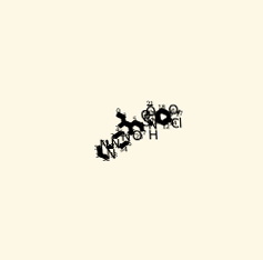 C=C/C(C)=C(\C=C(/C)[S+]([O-])Nc1cc(Cl)c(OC)cc1OC)C(=O)N1CCN(c2ncccn2)CC1